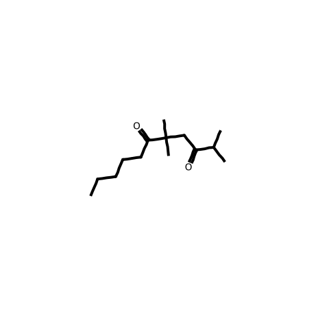 CCCCCC(=O)C(C)(C)CC(=O)C(C)C